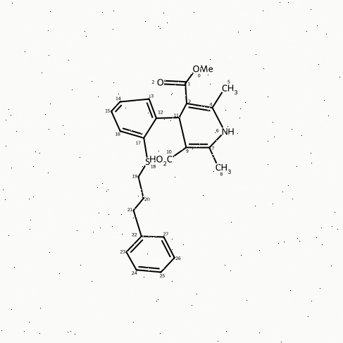 COC(=O)C1=C(C)NC(C)=C(C(=O)O)C1c1ccccc1SCCCc1ccccc1